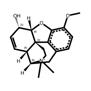 COc1ccc2c3c1O[C@H]1[C@@H](O)C=C[C@H]4[C@@H](C2)[N+](C)(C)CC[C@@]341